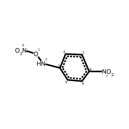 O=[N+]([O-])ONc1ccc([N+](=O)[O-])cc1